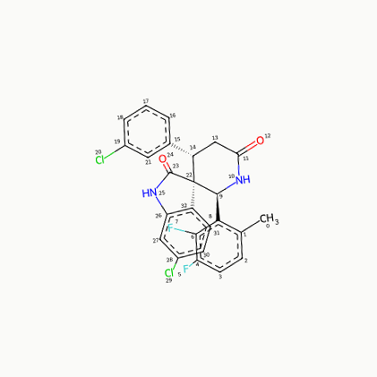 Cc1ccc(F)c(F)c1[C@@H]1NC(=O)C[C@@H](c2cccc(Cl)c2)[C@]12C(=O)Nc1cc(Cl)ccc12